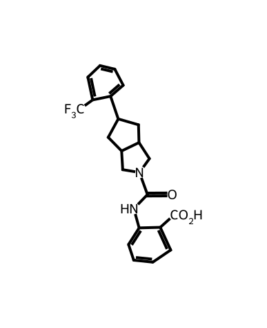 O=C(O)c1ccccc1NC(=O)N1CC2CC(c3ccccc3C(F)(F)F)CC2C1